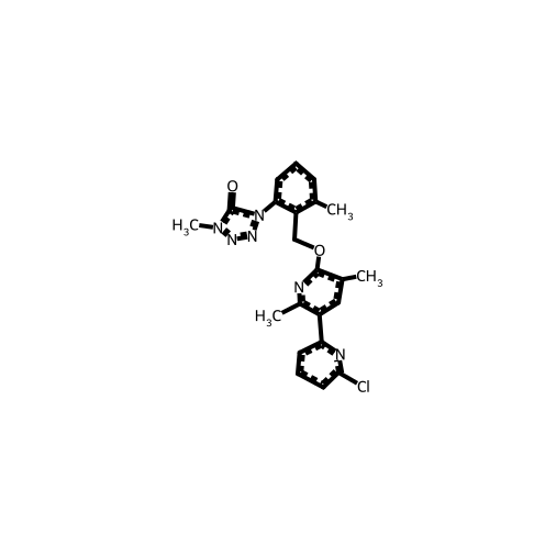 Cc1cc(-c2cccc(Cl)n2)c(C)nc1OCc1c(C)cccc1-n1nnn(C)c1=O